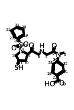 CN(C(=O)CNCC(=O)C1CC(S)CN1S(=O)(=O)c1ccccc1)c1ccc(C(=O)O)cc1